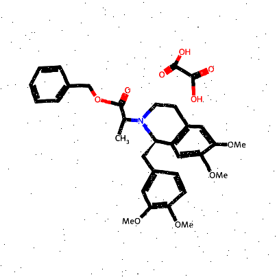 COc1ccc(C[C@@H]2c3cc(OC)c(OC)cc3CCN2C(C)C(=O)OCc2ccccc2)cc1OC.O=C(O)C(=O)O